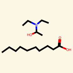 CCCCCCCCCC(=O)O.CCN(CC)C(C)O